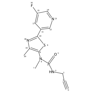 C#CCNC(=O)N(C)c1sc(-c2cncc(F)c2)nc1C